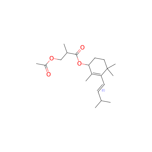 CC(=O)OCC(C)C(=O)OC1CCC(C)(C)C(/C=C/C(C)C)=C1C